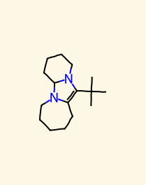 CC(C)(C)C1=C2CCCCCN2C2CCCCN12